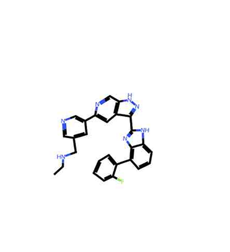 CCNCc1cncc(-c2cc3c(-c4nc5c(-c6ccccc6F)cccc5[nH]4)n[nH]c3cn2)c1